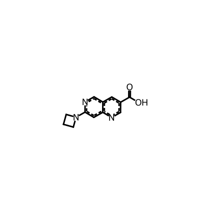 O=C(O)c1cnc2cc(N3CCC3)ncc2c1